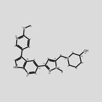 COc1ccc(-c2c[nH]c3ncc(-c4cc(CN5CCCC(O)C5)n(C)n4)cc23)cn1